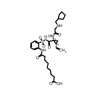 C=C[C@@H]1C[C@@]1(NC(=O)CNCC1CCCC1)C(=O)NS(=O)(=O)c1ccccc1NC(=O)CCCCCCCC(=O)O